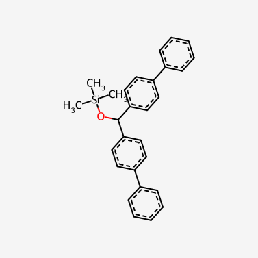 C[Si](C)(C)OC(c1ccc(-c2ccccc2)cc1)c1ccc(-c2ccccc2)cc1